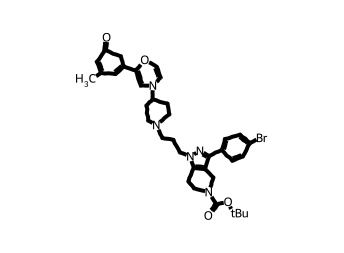 CC1=CC(=O)CC(C2=CN(C3CCN(CCCn4nc(-c5ccc(Br)cc5)c5c4CCN(C(=O)OC(C)(C)C)C5)CC3)C=CO2)=C1